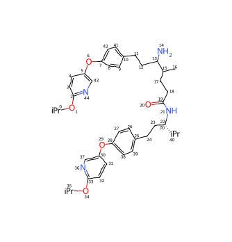 CC(C)Oc1ccc(Oc2ccc(CCC(N)C(C)CCC(=O)N[C@@H](CCc3ccc(Oc4ccc(OC(C)C)nc4)cc3)C(C)C)cc2)cn1